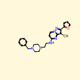 N#Cc1c(-c2ccco2)nn2ccc(NCCN3CCN(Cc4ccccc4)CC3)nc12